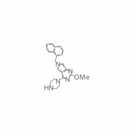 COc1nc(N2CCNCC2)c2cn(Cc3cccc4ccccc34)cc2n1